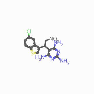 Nc1nc(N)c(C(C[N+](=O)[O-])c2csc3ccc(Cl)cc23)c(N)n1